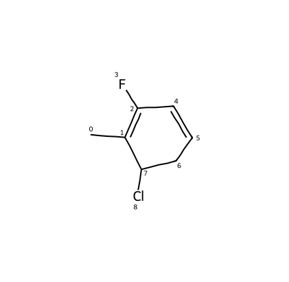 CC1=C(F)C=CCC1Cl